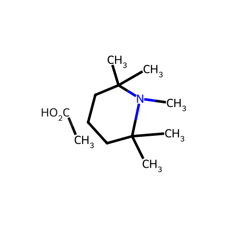 CC(=O)O.CN1C(C)(C)CCCC1(C)C